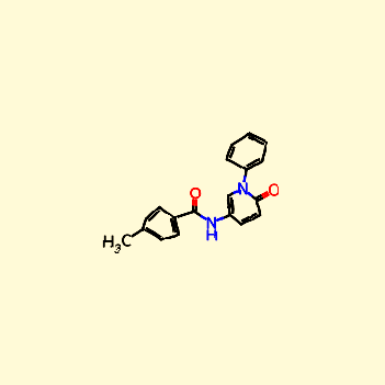 Cc1ccc(C(=O)Nc2ccc(=O)n(-c3ccccc3)c2)cc1